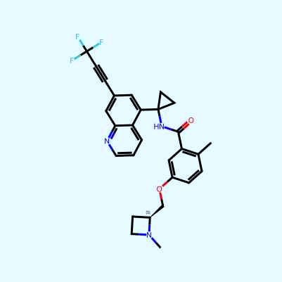 Cc1ccc(OC[C@@H]2CCN2C)cc1C(=O)NC1(c2cc(C#CC(F)(F)F)cc3ncccc23)CC1